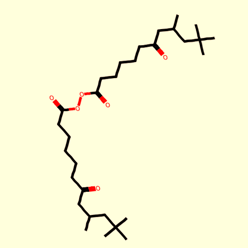 CC(CC(=O)CCCCCC(=O)OOC(=O)CCCCCC(=O)CC(C)CC(C)(C)C)CC(C)(C)C